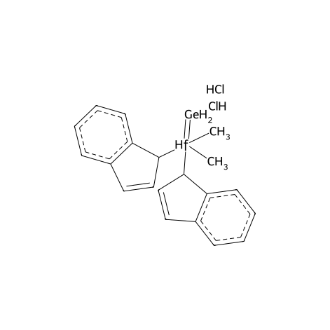 Cl.Cl.[CH3][Hf]([CH3])(=[GeH2])([CH]1C=Cc2ccccc21)[CH]1C=Cc2ccccc21